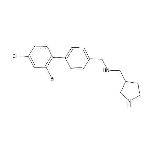 Clc1ccc(-c2ccc(CNCC3CCNC3)cc2)c(Br)c1